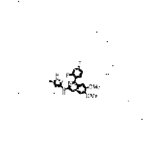 COc1cc2cc(Nc3cc(C)[nH]n3)nc(-c3ccc(F)cc3F)c2cc1OC